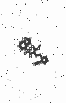 COC(=O)C(CCn1cccc1C#N)NS(=O)(=O)c1cccc2[nH]ccc12